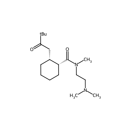 CN(C)CCN(C)C(=O)[C@@H]1CCCC[C@@H]1CC(=O)C(C)(C)C